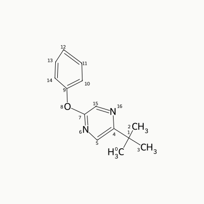 CC(C)(C)c1cnc(Oc2ccccc2)cn1